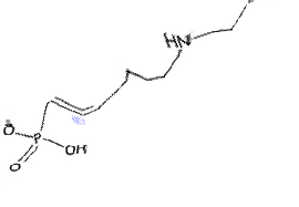 O=C(O)CNCC/C=C/P(=O)(O)O